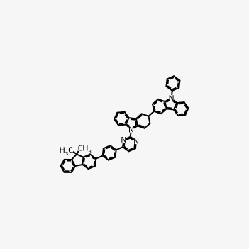 CC1(C)c2ccccc2-c2ccc(-c3ccc(-c4ccnc(-n5c6c(c7ccccc75)=CC(c5ccc7c(c5)c5ccccc5n7-c5ccccc5)CC=6)n4)cc3)cc21